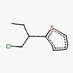 CCC(CCl)c1cccs1